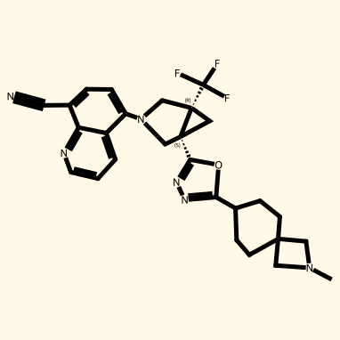 CN1CC2(CCC(c3nnc([C@]45CN(c6ccc(C#N)c7ncccc67)C[C@@]4(C(F)(F)F)C5)o3)CC2)C1